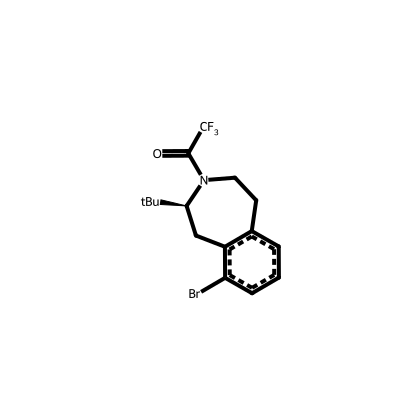 CC(C)(C)[C@@H]1Cc2c(Br)cccc2CCN1C(=O)C(F)(F)F